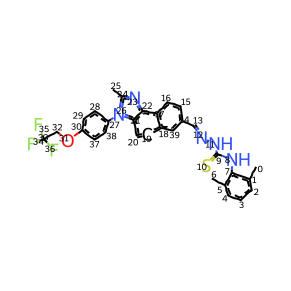 Cc1cccc(C)c1NC(=S)NN=Cc1ccc2c(ccc3c2nc(C)n3-c2ccc(OCC(F)(F)F)cc2)c1